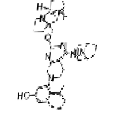 Oc1cc(N2CCc3c(nc(OC[C@]45CCCN4[C@@H]4CCC[C@]4(F)C5)nc3N3CC4CCC(C3)N4)C2)c2c(I)cccc2c1